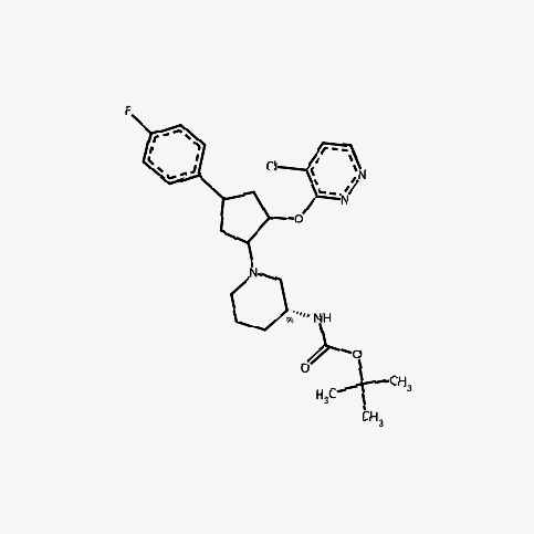 CC(C)(C)OC(=O)N[C@@H]1CCCN(C2CC(c3ccc(F)cc3)CC2Oc2nnccc2Cl)C1